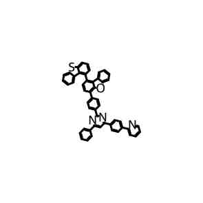 c1ccc(-c2cc(-c3ccc(-c4ccccn4)cc3)nc(-c3ccc(-c4ccc(-c5cccc6sc7ccccc7c56)c5c4oc4ccccc45)cc3)n2)cc1